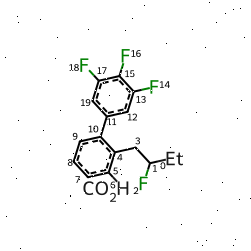 CCC(F)Cc1c(C(=O)O)cccc1-c1cc(F)c(F)c(F)c1